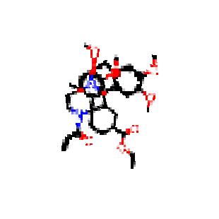 C=CC(=O)N1CCc2cc(OC)c(OC)cc2C12CCC(C(=O)OCC)CC2C1c2cc(OC)c(OC)cc2CCN1CC